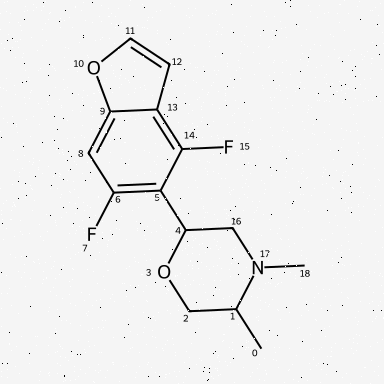 CC1COC(c2c(F)cc3occc3c2F)CN1C